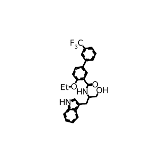 CCOc1ccc(-c2cccc(C(F)(F)F)c2)cc1C(=O)NC(CO)Cc1c[nH]c2ccccc12